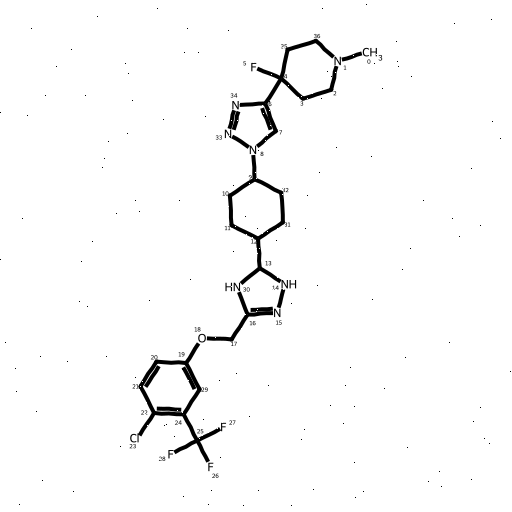 CN1CCC(F)(c2cn(C3CCC(C4NN=C(COc5ccc(Cl)c(C(F)(F)F)c5)N4)CC3)nn2)CC1